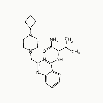 CC(C)[C@H](Nc1nc(CN2CCN(C3CCC3)CC2)nc2ccccc12)C(N)=O